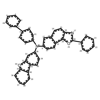 c1ccc(-c2ccc(N(c3ccc4c(ccc5nc(-c6ccccc6)oc54)c3)c3ccc4c(c3)oc3ccccc34)cc2)cc1